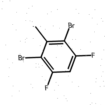 [CH2]c1c(Br)c(F)cc(F)c1Br